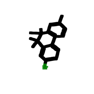 Cc1ccc2c(c1)C(C)(C)C(C)(C)c1cc(Br)ccc1-2